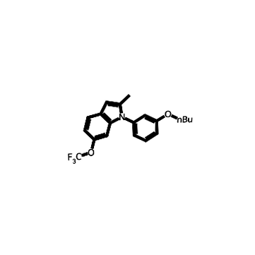 CCCCOc1cccc(-n2c(C)cc3ccc(OC(F)(F)F)cc32)c1